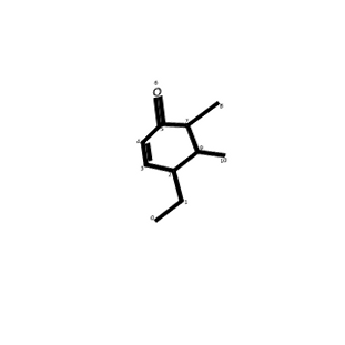 CCC1C=CC(=O)C(C)C1C